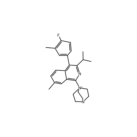 Cc1ccc2c(-c3ccc(F)c(C)c3)c(C(C)C)nc([N+]34CCN(CC3)CC4)c2c1